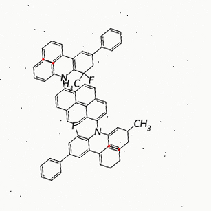 CC1C=C(N(c2c(F)cc(-c3ccccc3)cc2C2=CCCC=C2)c2ccc3ccc4c(N(C5=C(c6ccccc6)C=C(c6ccccc6)CC5(C)F)c5ccccc5)ccc5ccc2c3c54)C=CC1